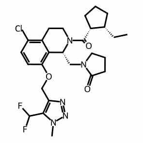 CC[C@H]1CCC[C@H]1C(=O)N1CCc2c(Cl)ccc(OCc3nnn(C)c3C(F)F)c2[C@H]1CN1CCCC1=O